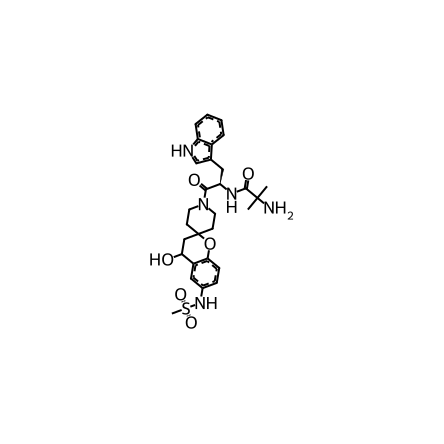 CC(C)(N)C(=O)N[C@H](Cc1c[nH]c2ccccc12)C(=O)N1CCC2(CC1)CC(O)c1cc(NS(C)(=O)=O)ccc1O2